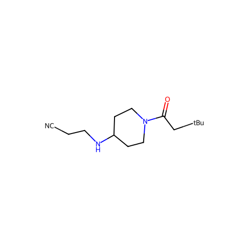 CC(C)(C)CC(=O)N1CCC(NCCC#N)CC1